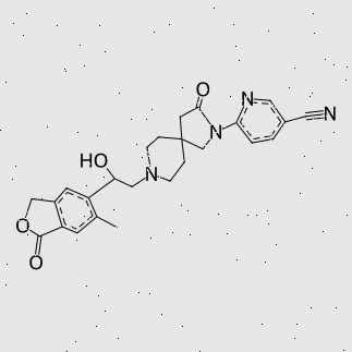 Cc1cc2c(cc1C(O)CN1CCC3(CC1)CC(=O)N(c1ccc(C#N)cn1)C3)COC2=O